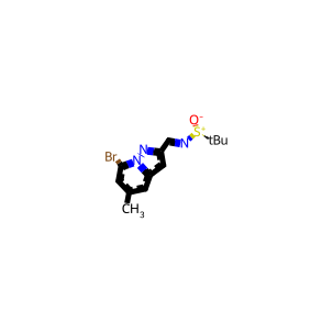 Cc1cc(Br)n2nc(/C=N/[S@+]([O-])C(C)(C)C)cc2c1